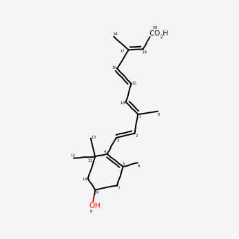 CC(C=CC1=C(C)CC(O)CC1(C)C)=CC=CC(C)=CC(=O)O